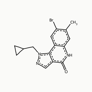 Cc1cc2[nH]c(=O)c3cnn(CC4CC4)c3c2cc1Br